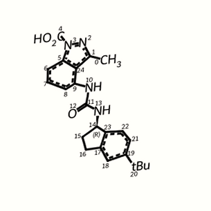 Cc1nn(C(=O)O)c2cccc(NC(=O)N[C@@H]3CCc4cc(C(C)(C)C)ccc43)c12